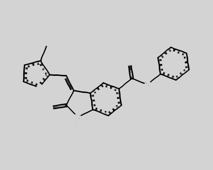 Cc1ccsc1C=C1C(=O)Nc2ccc(C(=O)Nc3ccccc3)cc21